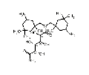 CC1(C)CC(N)CC(C)(CN(CC2(C)CC(N)CC(C)(C)C2)C(=O)[C@H](O)[C@@H](O)[C@@H](O)[C@H](O)C(N)=O)C1